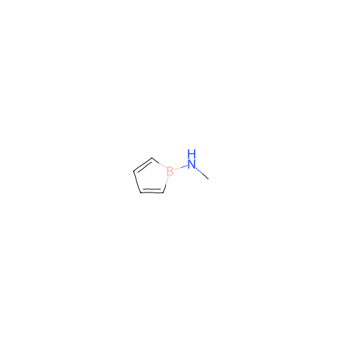 CNB1C=CC=C1